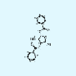 CC[C@H]1O[C@@H](OC(=O)c2ccccc2)[C@@H](O)C1OC(=O)c1ccccc1